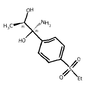 CCS(=O)(=O)c1ccc([C@@](N)(O)[C@@H](C)O)cc1